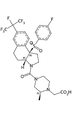 C[C@H]1CN(C(=O)N2CC[C@@]3(S(=O)(=O)c4ccc(F)cc4)c4ccc(C(F)(C(F)(F)F)C(F)(F)F)cc4CC[C@@H]23)CCN1CC(=O)O